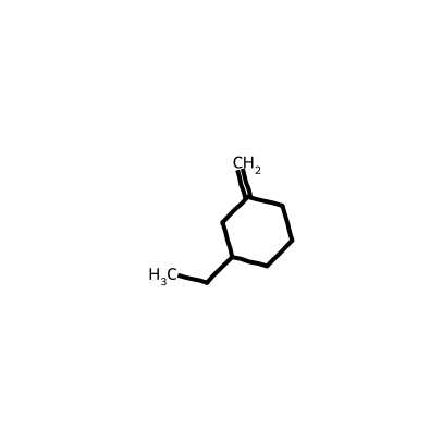 C=C1CCCC(CC)C1